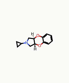 c1ccc2c(c1)O[C@@H]1CN(C3CC3)C[C@H]1O2